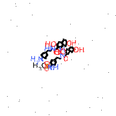 CS(=O)(=O)Nc1ccc(CCNC(=O)c2cc3cc(O)ccc3cc2O)cc1.Nc1ccc(CCNC(=O)c2cc3cc(O)ccc3cc2O)cc1